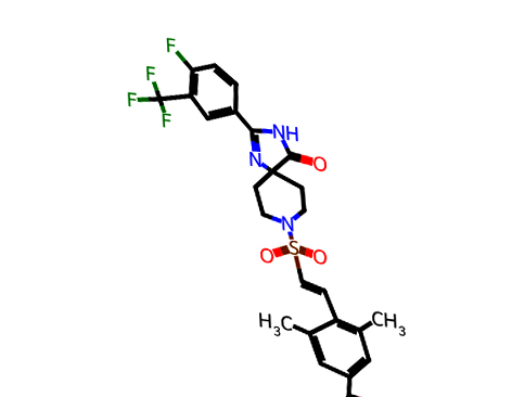 Cc1cc(C(=O)O)cc(C)c1C=CS(=O)(=O)N1CCC2(CC1)N=C(c1ccc(F)c(C(F)(F)F)c1)NC2=O